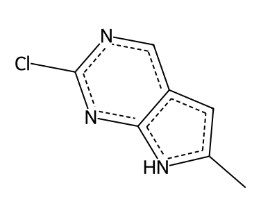 Cc1cc2cnc(Cl)nc2[nH]1